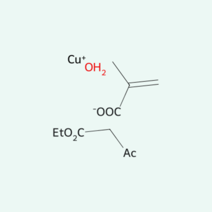 C=C(C)C(=O)[O-].CCOC(=O)CC(C)=O.O.[Cu+]